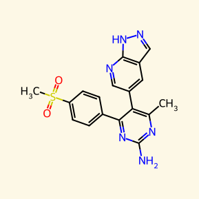 Cc1nc(N)nc(-c2ccc(S(C)(=O)=O)cc2)c1-c1cnc2[nH]ncc2c1